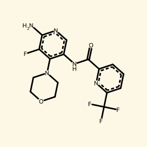 Nc1ncc(NC(=O)c2cccc(C(F)(F)F)n2)c(N2CCOCC2)c1F